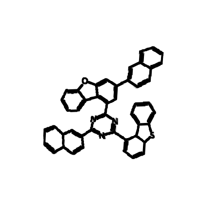 C1=CC2C=CC(c3nc(C4=CC=CC5Sc6ccccc6C45)nc(-c4cc(-c5ccc6ccccc6c5)cc5oc6ccccc6c45)n3)=CC2C=C1